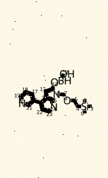 C[Si](C)(C)CCOCn1c(OBO)cc2c(-c3cccnc3)ccnc21